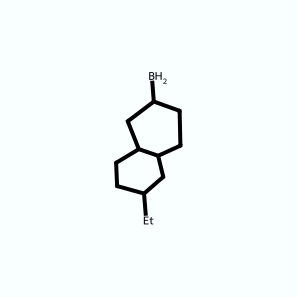 BC1CCC2CC(CC)CCC2C1